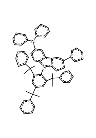 CC(C)(c1ccccc1)c1cc(C(C)(C)c2ccccc2)c(-n2c3ccc(-c4ccccc4)cc3c3cc(N(c4ccccc4)c4ccccc4)ccc32)c(C(C)(C)c2ccccc2)c1